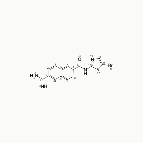 N=C(N)c1ccc2cc(C(=O)Nc3ncc(Br)s3)ccc2c1